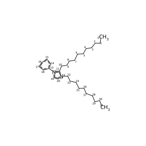 CCCCCCCCCCCc1n(-c2ccccc2)cc[n+]1CCCCCCCCCC